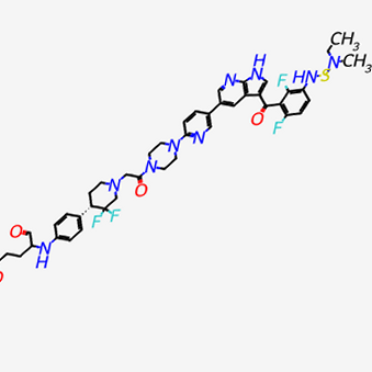 CCN(C)SNc1ccc(F)c(C(=O)c2c[nH]c3ncc(-c4ccc(N5CCN(C(=O)CN6CC[C@@H](c7ccc(NC(C=O)CCC(=O)NC)cc7)C(F)(F)C6)CC5)nc4)cc23)c1F